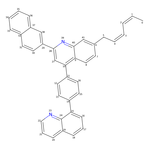 C/C=C\C=C/Cc1ccc2c(-c3ccc(-c4cccc5cccnc45)cc3)cc(-c3ccc4ccccc4c3)nc2c1